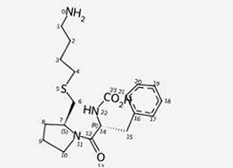 NCCCCSC[C@@H]1CCCN1C(=O)[C@@H](Cc1ccccc1)NC(=O)O